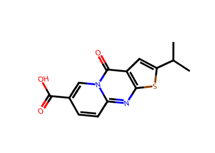 CC(C)c1cc2c(=O)n3cc(C(=O)O)ccc3nc2s1